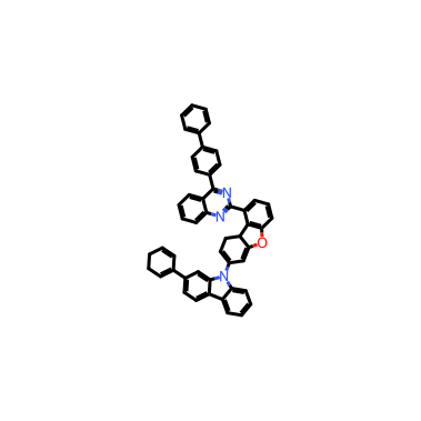 C1=CC(c2ccc3c4ccccc4n(C4=CCC5C(=C4)Oc4cccc(-c6nc(-c7ccc(-c8ccccc8)cc7)c7ccccc7n6)c45)c3c2)=CCC1